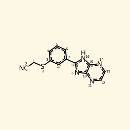 N#CCSc1cccc(-c2nc3nccnc3[nH]2)c1